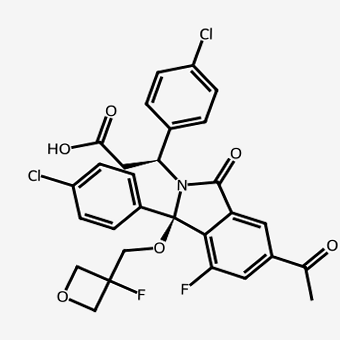 CC(=O)c1cc(F)c2c(c1)C(=O)N([C@@H](CC(=O)O)c1ccc(Cl)cc1)[C@@]2(OCC1(F)COC1)c1ccc(Cl)cc1